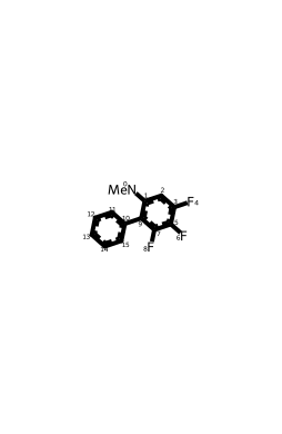 CNc1cc(F)c(F)c(F)c1-c1ccccc1